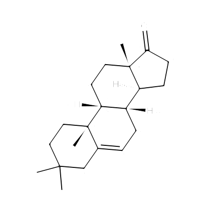 CC1(C)CC[C@@]2(C)C(=CC[C@@H]3[C@H]2CC[C@]2(C)C(=O)CC[C@@H]32)C1